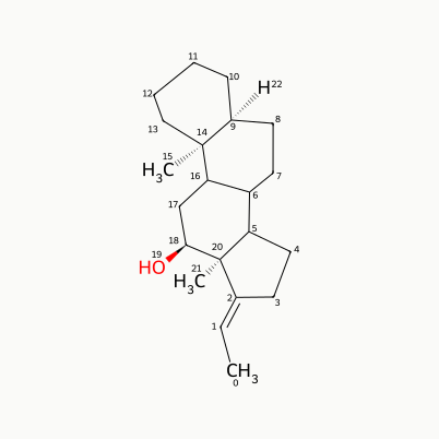 C/C=C1\CCC2C3CC[C@@H]4CCCC[C@]4(C)C3C[C@H](O)[C@]12C